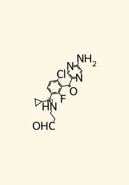 Nc1cnc(C(=O)c2c(Cl)ccc([C@H](NCCC=O)C3CC3)c2F)cn1